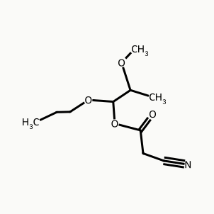 CCCOC(OC(=O)CC#N)C(C)OC